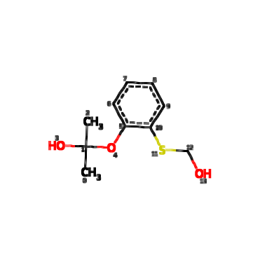 CC(C)(O)Oc1ccccc1SCO